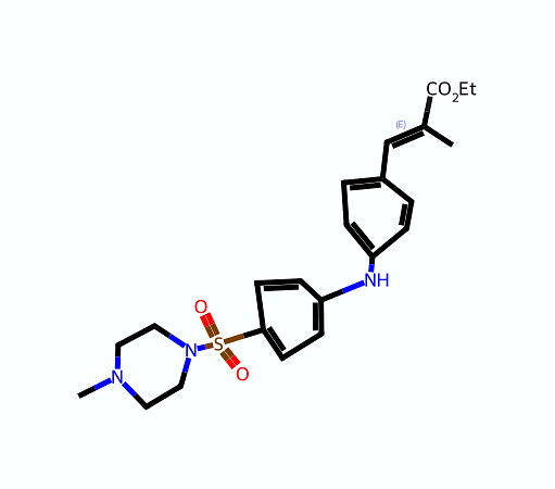 CCOC(=O)/C(C)=C/c1ccc(Nc2ccc(S(=O)(=O)N3CCN(C)CC3)cc2)cc1